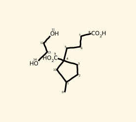 CC1CCC(CCCC(=O)O)(C(=O)O)C1.OCCO